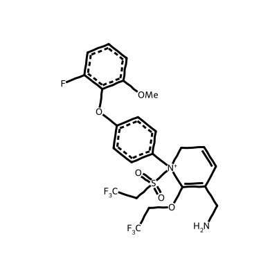 COc1cccc(F)c1Oc1ccc([N+]2(S(=O)(=O)CC(F)(F)F)CC=CC(CN)=C2OCC(F)(F)F)cc1